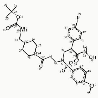 COc1ccc(S(=O)(=O)N(CCC(=O)N2CCC(CNC(=O)OC(C)(C)C)CC2)CC(C(=O)NO)c2ccc(F)cc2)cc1